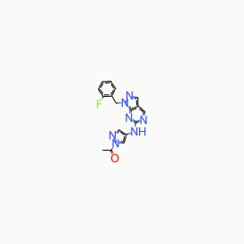 CC(=O)n1cc(Nc2ncc3cnn(Cc4ccccc4F)c3n2)cn1